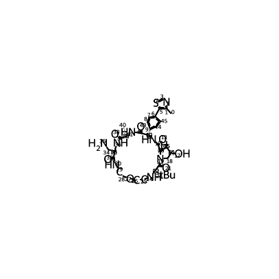 Cc1ncsc1-c1ccc([C@@H]2NC(=O)[C@@H]3C[C@@H](O)CN3C(=O)[C@H](C(C)(C)C)NCCOCCNC(=O)[C@@H](CN)NC(=O)[C@H](C)NC2=O)cc1